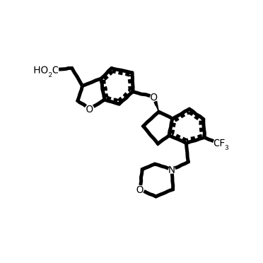 O=C(O)CC1COc2cc(O[C@@H]3CCc4c3ccc(C(F)(F)F)c4CN3CCOCC3)ccc21